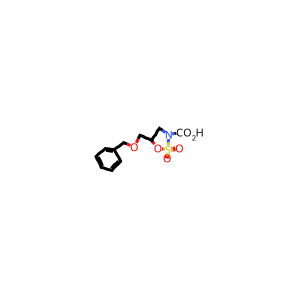 O=C(O)N1CC(COCc2ccccc2)OS1(=O)=O